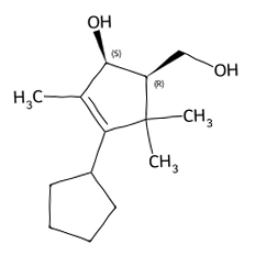 CC1=C(C2CCCC2)C(C)(C)[C@H](CO)[C@@H]1O